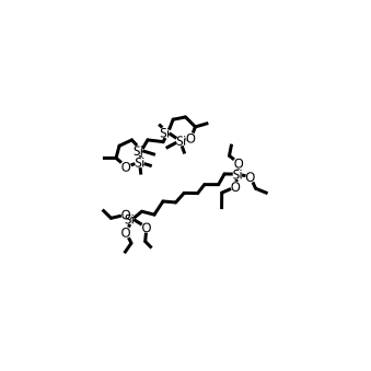 CC1CC[Si](C)(CC[Si]2(C)CCC(C)O[Si]2(C)C)[Si](C)(C)O1.CCO[Si](CCCCCCCCC[Si](OCC)(OCC)OCC)(OCC)OCC